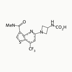 CNC(=O)c1csc2c(C(F)(F)F)cc(N3CC(NC(=O)O)C3)nc12